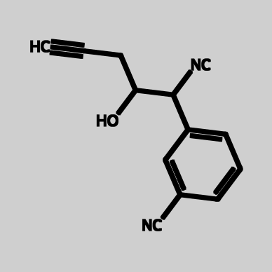 [C-]#[N+]C(c1cccc(C#N)c1)C(O)CC#C